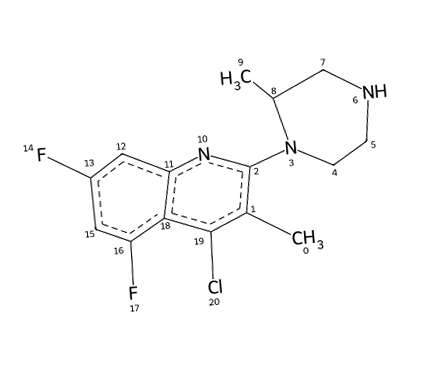 Cc1c(N2CCNCC2C)nc2cc(F)cc(F)c2c1Cl